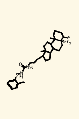 Cc1ccccc1SNC(=O)NCCCC1CCC2C3CCC4(N)C(F)CCCC4(C)C3CCC12C